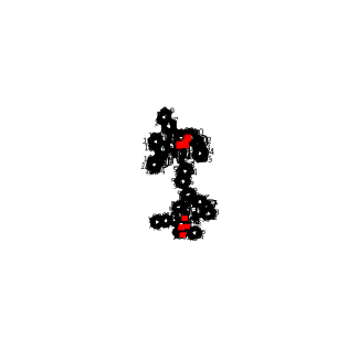 c1ccc2cc3c(cc2c1)c1ccccc1n3-c1c(-c2nc(-c3ccc4cc(-c5ccc6oc7c(-c8nc(-c9cccc%10ccccc9%10)nc(-c9cccc%10oc%11ccccc%11c9%10)n8)c(-n8c9cc%10ccccc%10cc9c9c%10ccccc%10ccc98)ccc7c6c5)ccc4c3)nc(-c3cccc4oc5ccccc5c34)n2)c2oc3ccccc3c2c2ccccc12